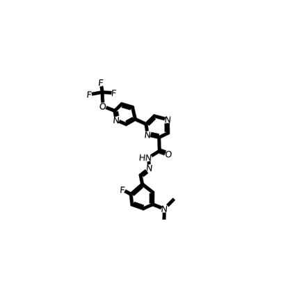 CN(C)c1ccc(F)c(/C=N/NC(=O)c2cncc(-c3ccc(OC(F)(F)F)nc3)n2)c1